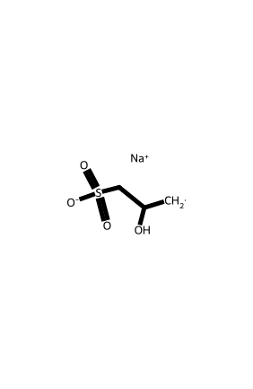 [CH2]C(O)CS(=O)(=O)[O-].[Na+]